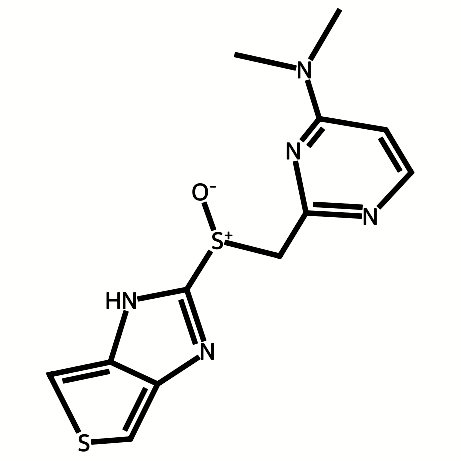 CN(C)c1ccnc(C[S+]([O-])c2nc3cscc3[nH]2)n1